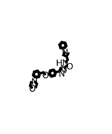 O=C(NCC1CN(c2ccccc2)C1)n1cnc(-c2ccc(OCc3cccc(N4CCOCC4)c3)cc2)c1